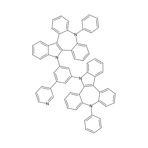 c1ccc(N2c3ccccc3-c3c(n(-c4cc(-c5cccnc5)cc(-n5c6c(c7ccccc75)-c5ccccc5N(c5ccccc5)c5ccccc5-6)c4)c4ccccc34)-c3ccccc32)cc1